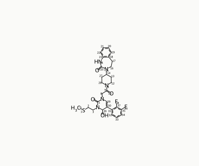 CSCCN1C(=O)N(CC(=O)N2CCC(N3CCc4ccccc4NC3=O)CC2)C=C(c2cccc(F)c2F)C1O